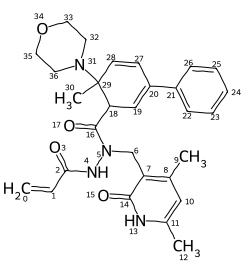 C=CC(=O)NN(Cc1c(C)cc(C)[nH]c1=O)C(=O)C1C=C(c2ccccc2)C=CC1(C)N1CCOCC1